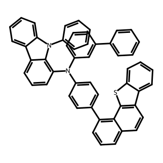 c1ccc(-c2cccc(N(c3ccc(-c4cccc5ccc6c7ccccc7sc6c45)cc3)c3cccc4c5ccccc5n(-c5ccccc5)c34)c2)cc1